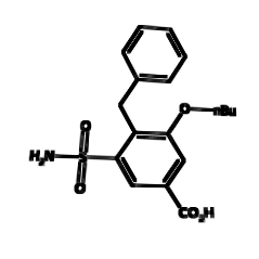 CCCCOc1cc(C(=O)O)cc(S(N)(=O)=O)c1Cc1ccccc1